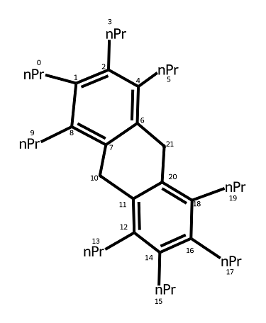 CCCc1c(CCC)c(CCC)c2c(c1CCC)Cc1c(CCC)c(CCC)c(CCC)c(CCC)c1C2